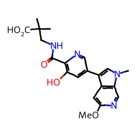 COc1cc2c(-c3cnc(C(=O)NCC(C)(C)C(=O)O)c(O)c3)cn(C)c2cn1